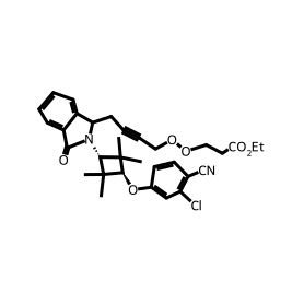 CCOC(=O)CCOOCC#CCC1c2ccccc2C(=O)N1[C@H]1C(C)(C)[C@H](Oc2ccc(C#N)c(Cl)c2)C1(C)C